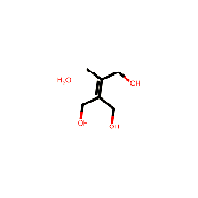 CC(CO)=C(CO)CO.O